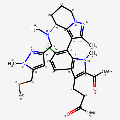 COC(=O)CCc1c(C(=O)OC)n(C)c2c(-c3c(C)nn4c3[C@H](N(C)Cc3cc(CSC(C)=O)n(C)n3)CCC4)c(Cl)ccc12